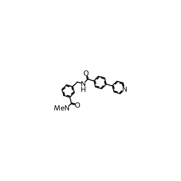 CNC(=O)c1cccc(CNC(=O)c2ccc(-c3ccncc3)cc2)c1